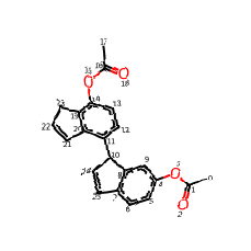 CC(=O)Oc1ccc2c(c1)C(c1ccc(OC(C)=O)c3c1C=CC3)C=C2